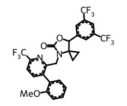 COc1ccccc1-c1ccc(C(F)(F)F)nc1CN1C(=O)OC(c2cc(C(F)(F)F)cc(C(F)(F)F)c2)C12CC2